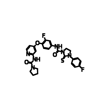 O=C(Nc1cc(Oc2ccc(NC(=O)N3CCN(c4ccc(F)cc4)C3=S)cc2F)ccn1)N1CCCC1